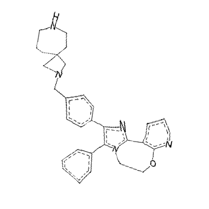 c1ccc(-c2c(-c3ccc(CN4CC5(CCNCC5)C4)cc3)nc3n2CCOc2ncccc2-3)cc1